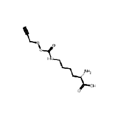 C#CCOOC(=O)NCCCC[C@H](N)C(=O)O